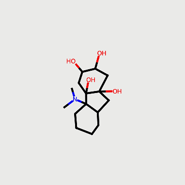 CN(C)C12CCCCC1CC1(O)CC(O)C(O)CC12O